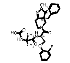 CN1N=C2CCN(C(=O)[C@@H](COc3ccccc3F)NC(=O)C(C)(C)NC(=O)O)C[C@@]2(Cc2ccccc2)C1=O